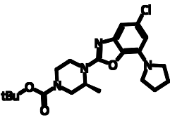 C[C@H]1CN(C(=O)OC(C)(C)C)CCN1c1nc2cc(Cl)cc(N3CCCC3)c2o1